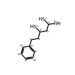 CCCC(S)CC(S)CCc1cc[c]cc1